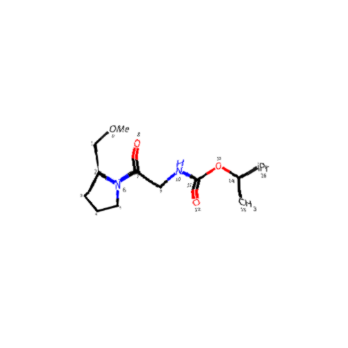 COC[C@@H]1CCCN1C(=O)CNC(=O)OC(C)C(C)C